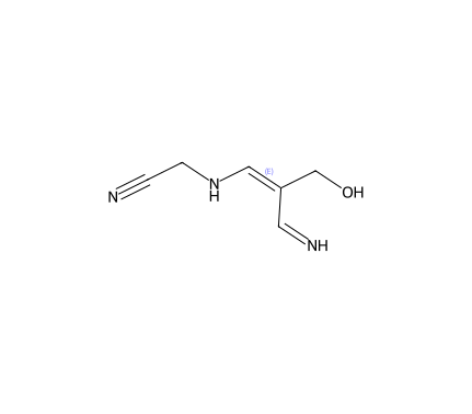 N#CCN/C=C(\C=N)CO